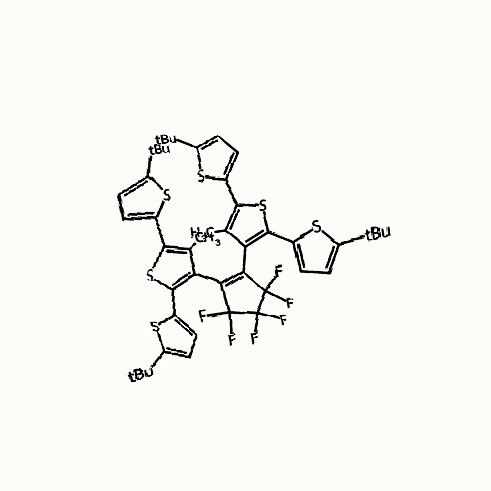 Cc1c(-c2ccc(C(C)(C)C)s2)sc(-c2ccc(C(C)(C)C)s2)c1C1=C(c2c(-c3ccc(C(C)(C)C)s3)sc(-c3ccc(C(C)(C)C)s3)c2C)C(F)(F)C(F)(F)C1(F)F